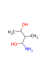 CC(O)C(C)C(N)O